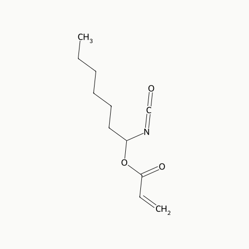 C=CC(=O)OC(CCCCCC)N=C=O